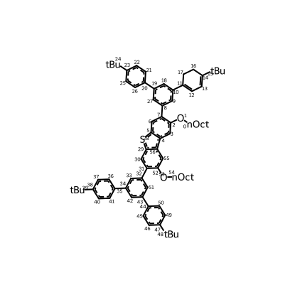 CCCCCCCCOc1cc2c(cc1-c1cc(C3=CC=C(C(C)(C)C)CC3)cc(-c3ccc(C(C)(C)C)cc3)c1)sc1cc(-c3cc(-c4ccc(C(C)(C)C)cc4)cc(-c4ccc(C(C)(C)C)cc4)c3)c(OCCCCCCCC)cc12